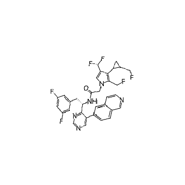 O=C(Cn1cc(C(F)F)c(C2CC2CF)c1CF)N[C@@H](Cc1cc(F)cc(F)c1)c1ncncc1-c1ccc2cnccc2c1